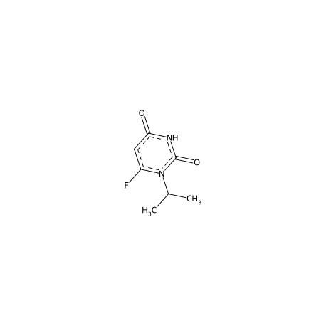 CC(C)n1c(F)cc(=O)[nH]c1=O